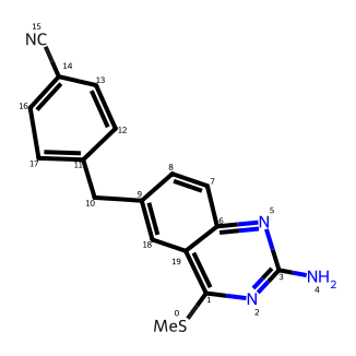 CSc1nc(N)nc2ccc(Cc3ccc(C#N)cc3)cc12